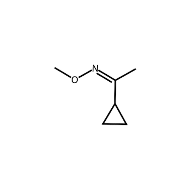 CO/N=C(/C)C1CC1